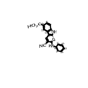 N#CC(=Cc1c[nH]c2ccc(C(=O)O)cc12)C(=O)Nc1ccccc1